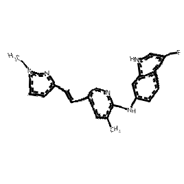 Cc1cc(C=Cc2ccn(C)n2)cnc1Nc1ccc2c(F)c[nH]c2c1